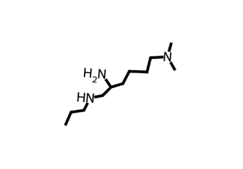 CCCNCC(N)CCCCN(C)C